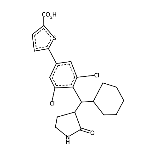 O=C(O)c1ccc(-c2cc(Cl)c(C(C3CCCCC3)C3CCNC3=O)c(Cl)c2)s1